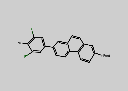 CCCCCc1ccc2c(ccc3cc(-c4cc(F)c(C#N)c(F)c4)ccc32)c1